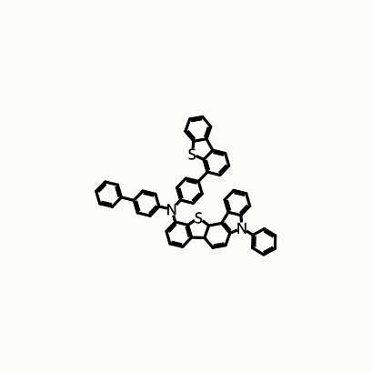 C1=CC2c3cccc(N(c4ccc(-c5ccccc5)cc4)c4ccc(-c5cccc6c5sc5ccccc56)cc4)c3SC2c2c1n(-c1ccccc1)c1ccccc21